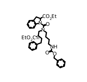 CCOC(=O)C1Cc2ccccc2N1C(=O)N(CCCCNC(=O)OCc1ccccc1)C[C@@H](CCc1ccccc1)C(=O)OCC